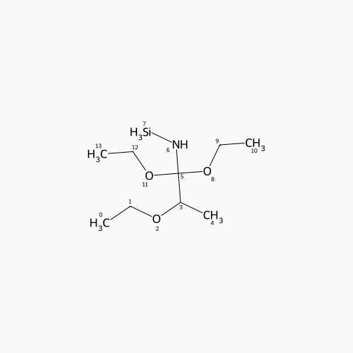 CCOC(C)C(N[SiH3])(OCC)OCC